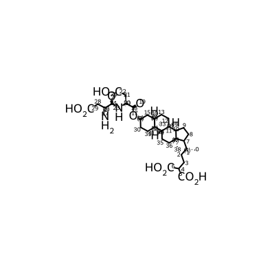 C[C@H](CCC(C(=O)O)C(=O)O)C1CCC2[C@@H]3CC[C@@H]4C[C@H](OC(=O)[C@H](CC(=O)O)NC(=O)[C@@H](N)CC(=O)O)CC[C@]4(C)[C@H]3CC[C@]12C